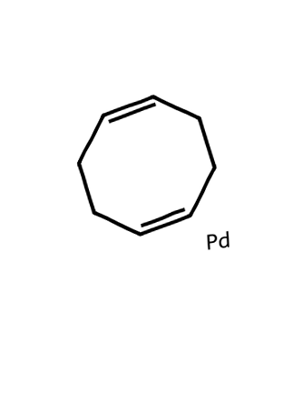 C1=C\CC/C=C\CC/1.[Pd]